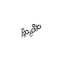 CC(C)Oc1ccc(C(=O)N2CCC3(CC2)Oc2ccccc2-n2cccc23)cc1C(F)(F)F